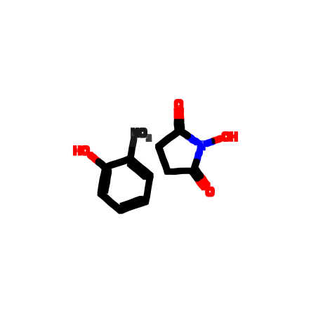 O=C1CCC(=O)N1O.O=[N+]([O-])c1ccccc1O